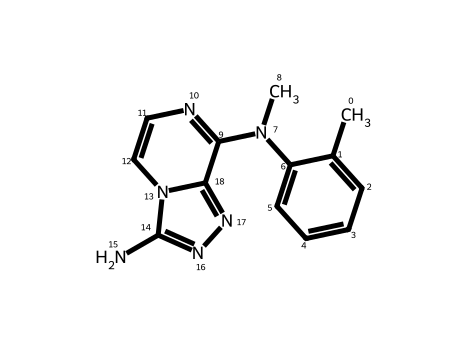 Cc1ccccc1N(C)c1nccn2c(N)nnc12